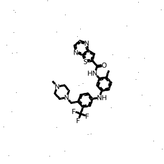 Cc1ccc(Nc2ccc(CN3CCN(C)CC3)c(C(F)(F)F)c2)cc1NC(=O)c1cc2nccnc2s1